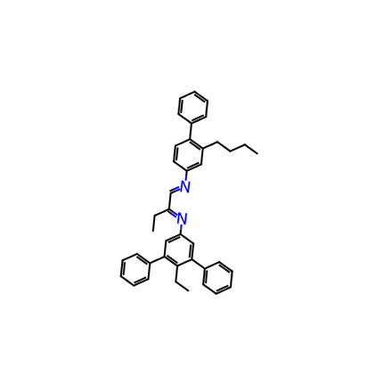 CCCCc1cc(N=CC(CC)=Nc2cc(-c3ccccc3)c(CC)c(-c3ccccc3)c2)ccc1-c1ccccc1